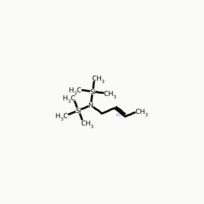 C/C=C/CN([Si](C)(C)C)[Si](C)(C)C